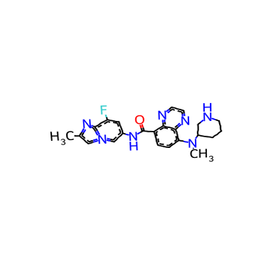 Cc1cn2cc(NC(=O)c3ccc(N(C)C4CCCNC4)c4nccnc34)cc(F)c2n1